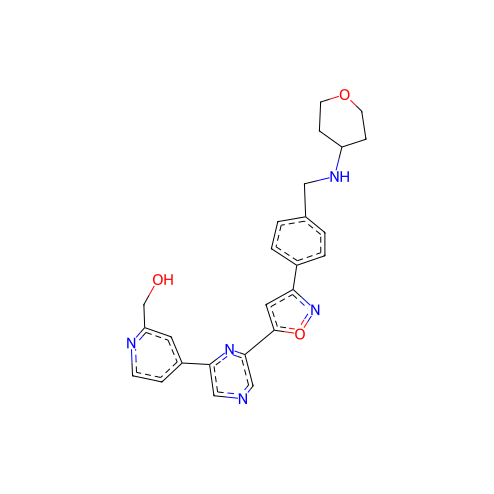 OCc1cc(-c2cncc(-c3cc(-c4ccc(CNC5CCOCC5)cc4)no3)n2)ccn1